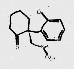 O=C(O)NC[C@]1(c2ccccc2Cl)CCCCC1=O